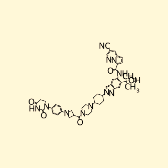 CC(C)(O)c1cc2nn(C3CCC(N4CCN(C(=O)C5CN(c6ccc(N7CCC(=O)NC7=O)cc6)C5)CC4)CC3)cc2cc1NC(=O)c1ccc2cc(C#N)cnn12